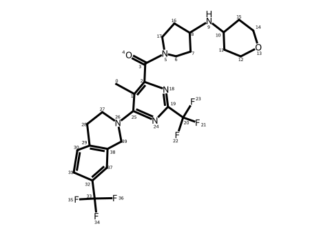 Cc1c(C(=O)N2CCC(NC3CCOCC3)CC2)nc(C(F)(F)F)nc1N1CCc2ccc(C(F)(F)F)cc2C1